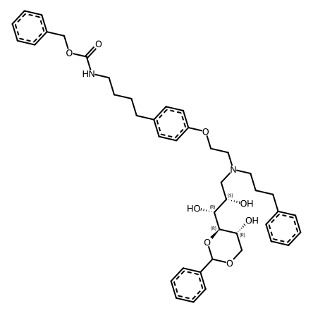 O=C(NCCCCc1ccc(OCCN(CCCc2ccccc2)C[C@H](O)[C@@H](O)[C@@H]2OC(c3ccccc3)OC[C@H]2O)cc1)OCc1ccccc1